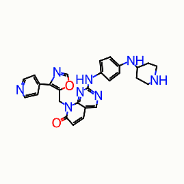 O=c1ccc2cnc(Nc3ccc(NC4CCNCC4)cc3)nc2n1Cc1ocnc1-c1ccncc1